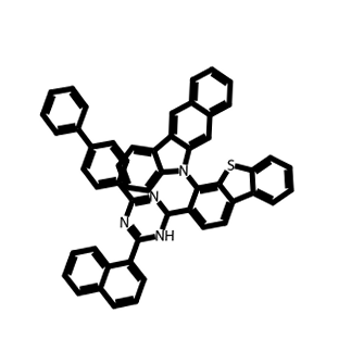 c1ccc(-c2ccc(C3=NC(c4ccc5c(sc6ccccc65)c4-n4c5ccccc5c5cc6ccccc6cc54)NC(c4cccc5ccccc45)=N3)cc2)cc1